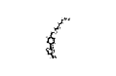 COCCOCOCc1ccc(C2=NC(C(C)C)CO2)cc1